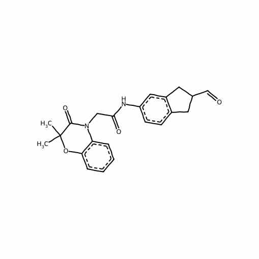 CC1(C)Oc2ccccc2N(CC(=O)Nc2ccc3c(c2)CC(C=O)C3)C1=O